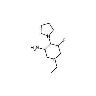 CCN1CC(N)C(N2CCCC2)C(F)C1